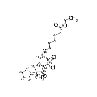 CCOC(=O)CCCCCOc1cc2c(c(Cl)c1Cl)C(=O)C(C)(C1CCCC1)C2